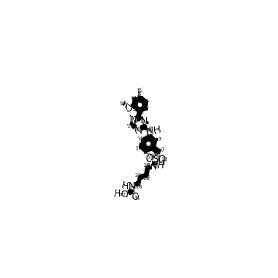 COc1cc(F)ccc1-c1ncnc(Nc2cccc(CS(=O)(=O)NCCCCNC(=O)O)c2)n1